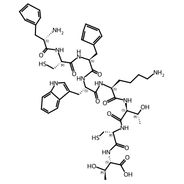 C[C@@H](O)[C@H](NC(=O)[C@H](CS)NC(=O)[C@@H](NC(=O)[C@H](CCCCN)NC(=O)[C@H](Cc1c[nH]c2ccccc12)NC(=O)[C@H](Cc1ccccc1)NC(=O)[C@H](CS)NC(=O)[C@@H](N)Cc1ccccc1)[C@@H](C)O)C(=O)O